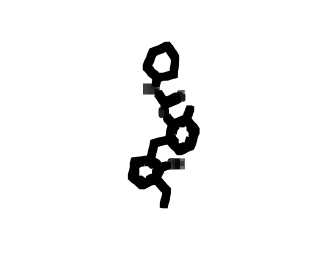 CCc1cccc(Cc2cccc(C)c2OC(=S)NC2CCCCC2)c1O